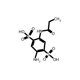 CCC(=O)Nc1cc(S(=O)(=O)O)c(N)cc1S(=O)(=O)O